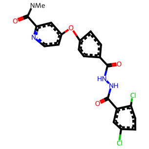 CNC(=O)c1cc(Oc2ccc(C(=O)NNC(=O)c3cc(Cl)ccc3Cl)cc2)ccn1